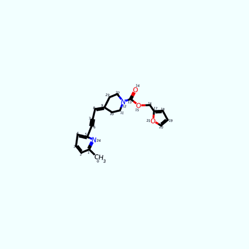 Cc1cccc(C#CC=C2CCN(C(=O)OCc3ccco3)CC2)n1